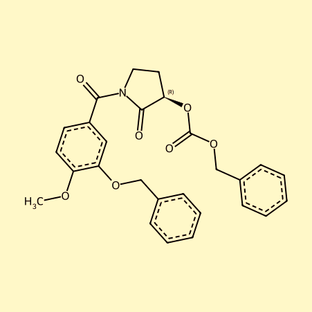 COc1ccc(C(=O)N2CC[C@@H](OC(=O)OCc3ccccc3)C2=O)cc1OCc1ccccc1